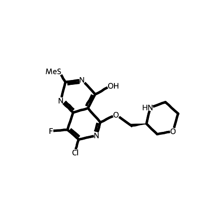 CSc1nc(O)c2c(OC[C@@H]3COCCN3)nc(Cl)c(F)c2n1